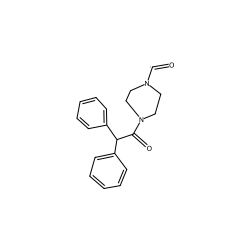 O=[C]N1CCN(C(=O)C(c2ccccc2)c2ccccc2)CC1